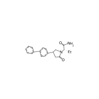 CC[C@@H](C(N)=O)N1CC(c2ccc(-c3ccccc3)cc2)CC1=O